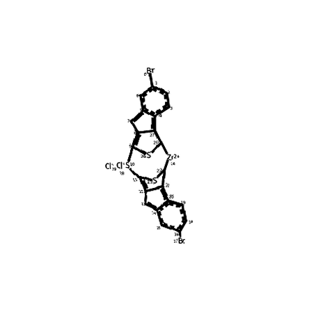 Brc1ccc2c(c1)=CC1=C3SC4=C5C=c6cc(Br)ccc6=C5[CH](S4)[Zr+2][CH](S3)C=21.[Cl-].[Cl-]